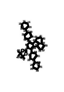 CC1(C)OB(c2cc(-c3ccc(-c4ccccn4)cc3)c3c(c2-c2ccc(-c4ccccn4)cc2)-c2cccc4cccc-3c24)OC1(C)C